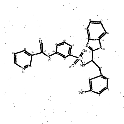 N#Cc1cccc(CC(NS(=O)(=O)c2cccc(NC(=O)c3cccnc3)c2)c2nc3ccccc3s2)c1